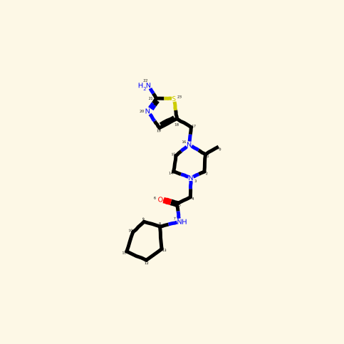 CC1CN(CC(=O)NC2CCCCC2)CCN1Cc1cnc(N)s1